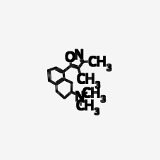 Cc1noc(-c2cccc3c2CC(N(C)C)CC3)c1C